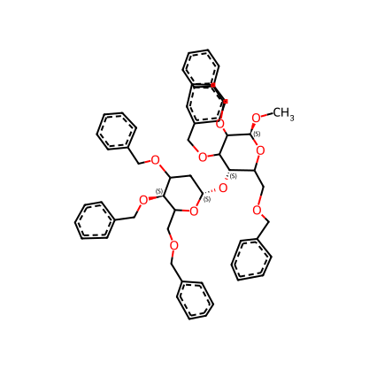 CO[C@H]1OC(COCc2ccccc2)[C@H](O[C@H]2CC(OCc3ccccc3)[C@H](OCc3ccccc3)C(COCc3ccccc3)O2)C(OCc2ccccc2)C1OCc1ccccc1